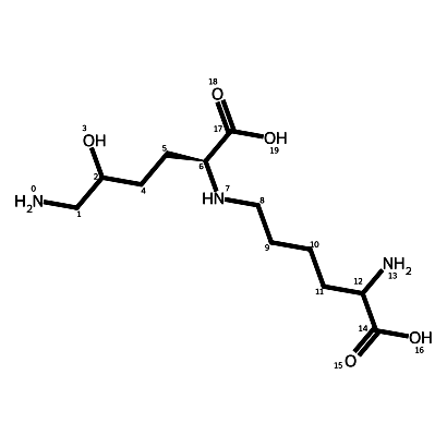 NCC(O)CC[C@H](NCCCCC(N)C(=O)O)C(=O)O